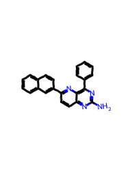 Nc1nc(-c2ccccc2)c2nc(-c3ccc4ccccc4c3)ccc2n1